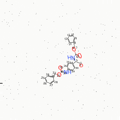 O=[C]C(NC(=O)OCc1ccccc1)c1ccc(NC(=O)OCc2ccccc2)cc1